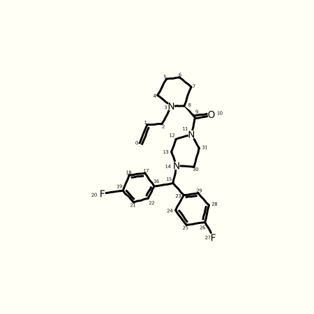 C=CCN1CCCC[C@H]1C(=O)N1CCN(C(c2ccc(F)cc2)c2ccc(F)cc2)CC1